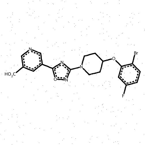 O=C(O)c1cncc(-c2nc(N3CCC(Oc4cc(F)ccc4Br)CC3)no2)c1